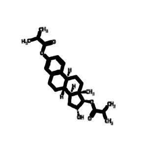 CC(C)C(=O)Oc1ccc2c(c1)CC[C@@H]1[C@@H]2CC[C@@]2(C)[C@H]1C[C@@H](O)[C@@H]2OC(=O)C(C)C